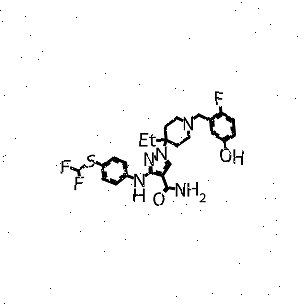 CCC1(n2cc(C(N)=O)c(Nc3ccc(SC(F)F)cc3)n2)CCN(Cc2cc(O)ccc2F)CC1